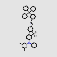 CCC1(CC)c2cc(/C=C/c3cccc4c3-c3ccccc3C4(c3ccccc3)c3ccccc3)ccc2-c2ccc(N(c3ccccc3)C3C=C(C)C=C(C)C3)cc21